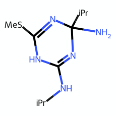 CSC1=NC(N)(C(C)C)N=C(NC(C)C)N1